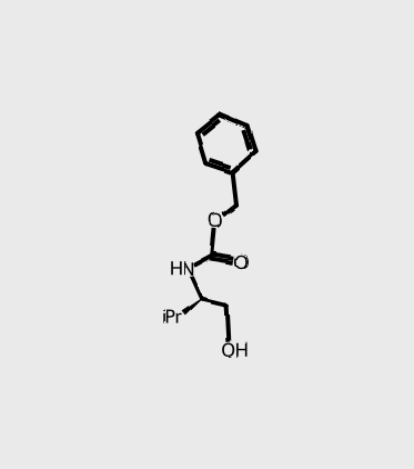 CC(C)[C@H](CO)NC(=O)OCc1ccccc1